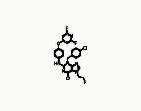 O=c1nc(Nc2ccc(Oc3cc(F)nc(F)c3)cc2)n(Cc2ccc(Cl)cc2)c2ncn(CCF)c12